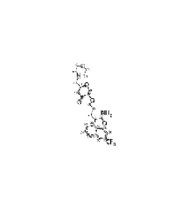 NC(=O)C(CCCOc1coc(CN2CCOCC2)cc1=O)c1ccnc2cc(C(F)(F)F)ccc12